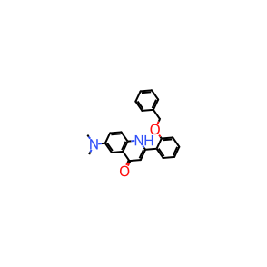 CN(C)c1ccc2[nH]c(-c3ccccc3OCc3ccccc3)cc(=O)c2c1